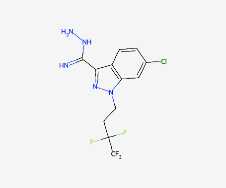 N=C(NN)c1nn(CCC(F)(F)C(F)(F)F)c2cc(Cl)ccc12